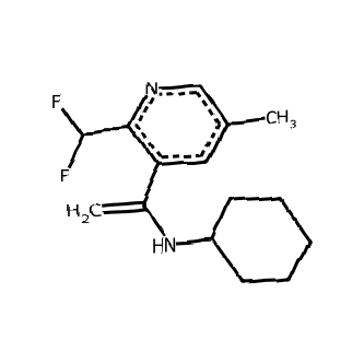 C=C(NC1CCCCC1)c1cc(C)cnc1C(F)F